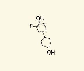 Oc1ccc(C2CCC(O)CC2)cc1F